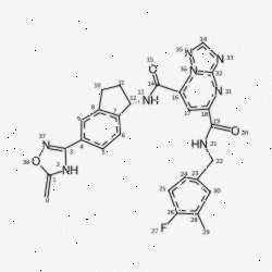 C=C1NC(c2ccc3c(c2)CC[C@@H]3NC(=O)c2cc(C(=O)NCc3ccc(F)c(C)c3)nc3ncnn23)=NO1